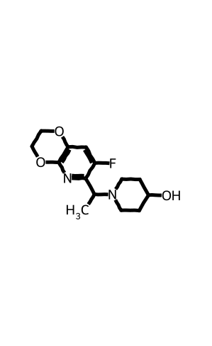 CC(c1nc2c(cc1F)OCCO2)N1CCC(O)CC1